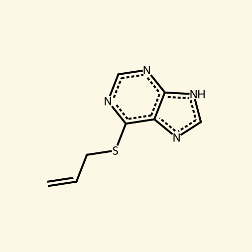 C=CCSc1ncnc2[nH]cnc12